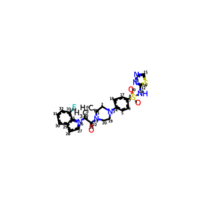 C[C@@H]1CN(c2ccc(S(=O)(=O)Nc3nncs3)cc2)CCN1C(=O)[C@H](C)n1ccc2cccc(F)c21